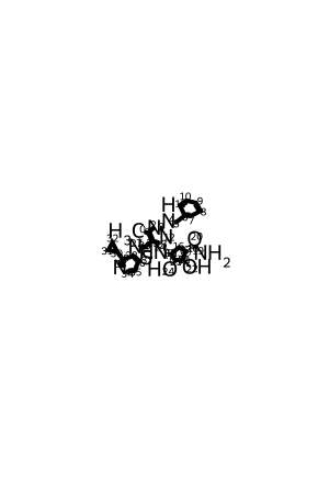 Cc1nc(NCc2ccccc2)nc(N[C@@H]2C[C@H](C(N)=O)[C@@H](O)[C@H]2O)c1-c1nc2c(C3CC3)nccc2s1